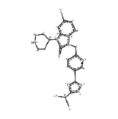 O=c1n(Cc2ccc(-c3nnc(C(F)F)o3)cn2)c2ccc(F)cc2n1C1CCNCC1